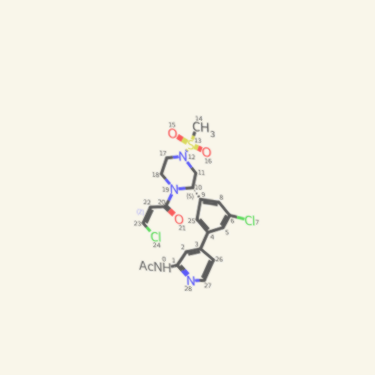 CC(=O)Nc1cc(-c2cc(Cl)cc([C@H]3CN(S(C)(=O)=O)CCN3C(=O)/C=C\Cl)c2)ccn1